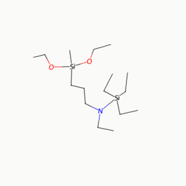 CCO[Si](C)(CCCN(CC)[Si](CC)(CC)CC)OCC